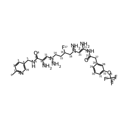 Cc1ccc(CNC(=O)/C(N)=C/N(N)CCC(F)CN(N)/C=C(\N)NC(=O)Cc2cccc(OC(F)(F)F)c2)cn1